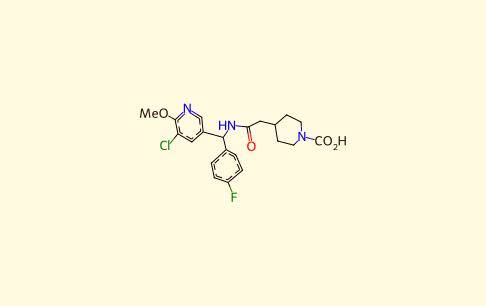 COc1ncc(C(NC(=O)CC2CCN(C(=O)O)CC2)c2ccc(F)cc2)cc1Cl